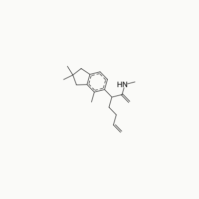 C=CCCC(C(=C)NC)c1ccc2c(c1C)CC(C)(C)C2